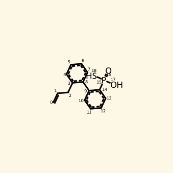 C=CCc1ccccc1-c1ccccc1P(=O)(O)S